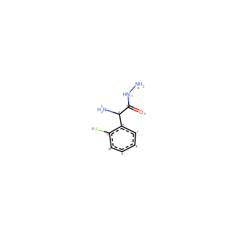 NNC(=O)C(N)c1ccccc1F